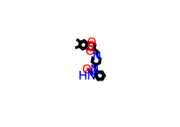 Cc1cc2c(cc1C)OC(CN1CCC(n3c(=O)[nH]c4ccccc43)CC1)CO2